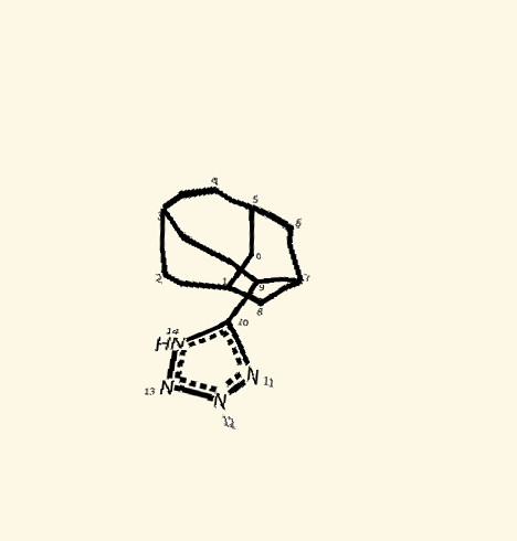 C1C2CC3CC1CC(C2)C3c1nnn[nH]1